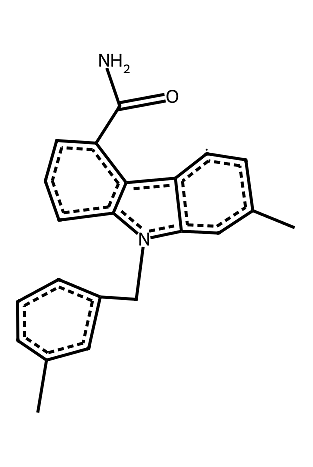 Cc1cccc(Cn2c3cc(C)c[c]c3c3c(C(N)=O)cccc32)c1